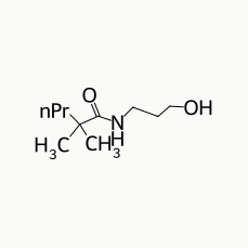 CCCC(C)(C)C(=O)NCCCO